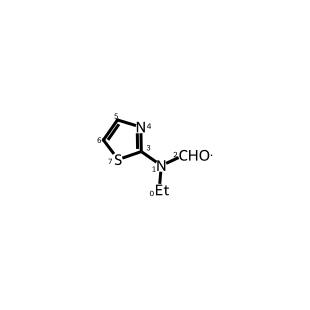 CCN([C]=O)c1nccs1